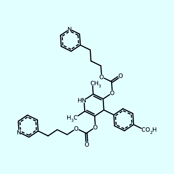 CC1=C(OC(=O)OCCCc2cccnc2)C(c2ccc(C(=O)O)cc2)C(OC(=O)OCCCc2cccnc2)=C(C)N1